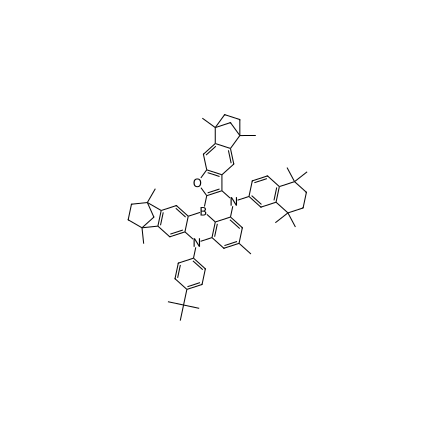 Cc1cc2c3c(c1)N(c1ccc4c(c1)C(C)(C)CCC4(C)C)c1c(oc4cc5c(cc14)C1(C)CCC5(C)C1)B3c1cc3c(cc1N2c1ccc(C(C)(C)C)cc1)C1(C)CCC3(C)C1